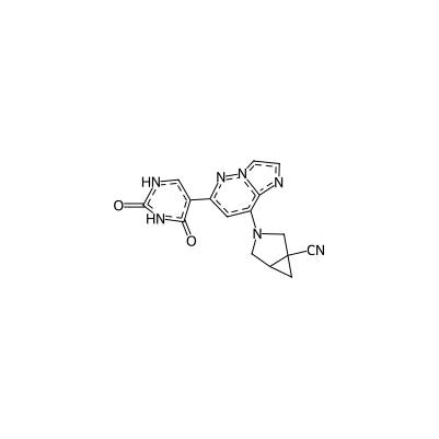 N#CC12CC1CN(c1cc(-c3c[nH]c(=O)[nH]c3=O)nn3ccnc13)C2